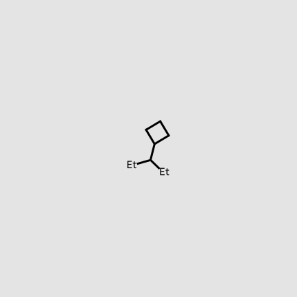 CCC(CC)C1CCC1